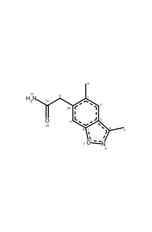 Cc1cc2c(C)noc2cc1CC(N)=O